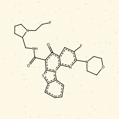 O=C(NCC1CCCN1CCF)c1c(=O)c2cc(F)c(N3CCOCC3)nc2n2c1sc1ccccc12